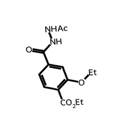 CCOC(=O)c1ccc(C(=O)NNC(C)=O)cc1OCC